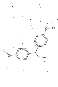 CCOc1ccc(C(CI)c2ccc(OCC)cc2)cc1